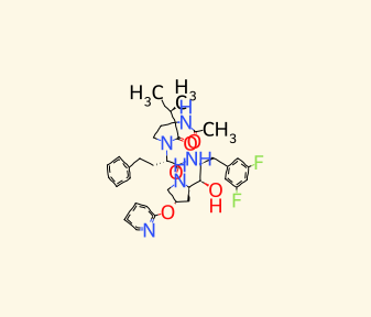 CC[C@@H](C)[C@@]1(NC(C)=O)CCN([C@@H](CCc2ccccc2)C(=O)N[C@@H](Cc2cc(F)cc(F)c2)[C@@H](O)[C@H]2C[C@H](Oc3ccccn3)CN2)C1=O